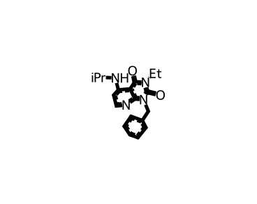 CCn1c(=O)c2c(NC(C)C)ccnc2n(Cc2ccccc2)c1=O